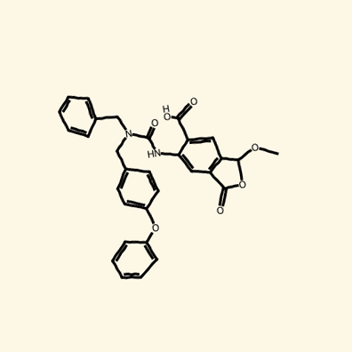 COC1OC(=O)c2cc(NC(=O)N(Cc3ccccc3)Cc3ccc(Oc4ccccc4)cc3)c(C(=O)O)cc21